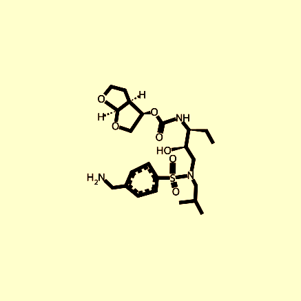 CC[C@H](NC(=O)O[C@H]1CO[C@H]2OCC[C@H]21)[C@H](O)CN(CC(C)C)S(=O)(=O)c1ccc(CN)cc1